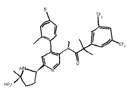 Cc1cc(F)ccc1-c1cc([C@H]2CC[C@@](C)(C(=O)O)N2)ncc1N(C)C(=O)C(C)(C)c1cc(C(F)(F)F)cc(C(F)(F)F)c1